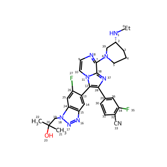 CCN[C@@H]1CCCN(c2nccn3c(-c4cc5nnn(CC(C)(C)O)c5cc4F)c(-c4ccc(C#N)c(F)c4)nc23)C1